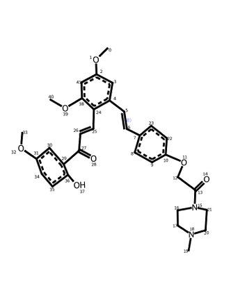 COc1cc(/C=C/c2ccc(OCC(=O)N3CCN(C)CC3)cc2)c(C=CC(=O)c2cc(OC)ccc2O)c(OC)c1